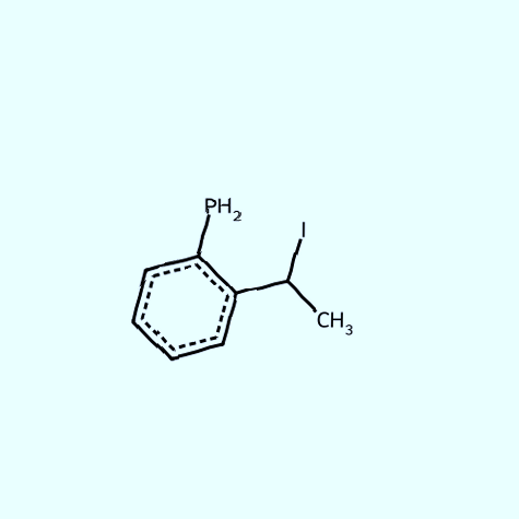 CC(I)c1ccccc1P